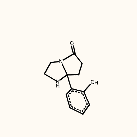 O=C1CCC2(c3ccccc3O)NCCN12